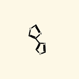 c1nc(-c2cocn2)co1